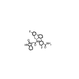 NC(=O)c1cc(-c2cccnc2[C@H](Cc2cccc(F)c2)NC(=O)Cn2c(=O)[nH]c3ccccc32)ccc1F